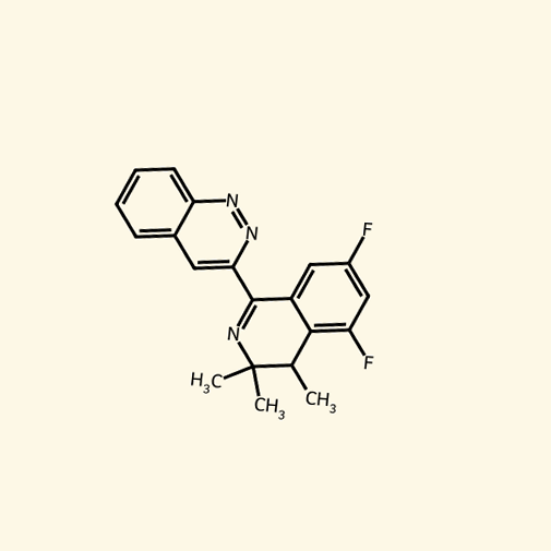 CC1c2c(F)cc(F)cc2C(c2cc3ccccc3nn2)=NC1(C)C